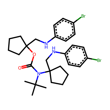 CC(C)(C)N(C(=O)OC1(CNc2ccc(Br)cc2)CCCC1)C1(CNc2ccc(Br)cc2)CCCC1